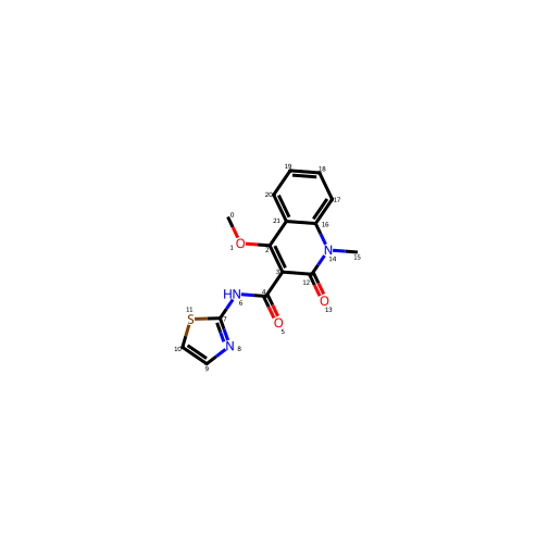 COc1c(C(=O)Nc2nccs2)c(=O)n(C)c2ccccc12